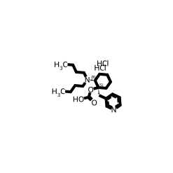 CCCCN(CCCC)[C@@H]1CCCC[C@@]1(Cc1cccnc1)OC(=O)O.Cl.Cl